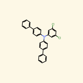 Clc1cc(Cl)cc(N(c2ccc(-c3ccccc3)cc2)c2ccc(-c3ccccc3)cc2)c1